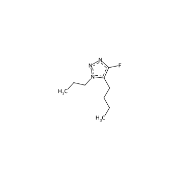 CCCCc1c(F)nnn1CCC